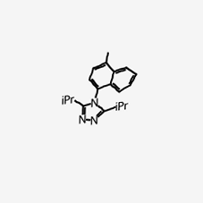 Cc1ccc(-n2c(C(C)C)nnc2C(C)C)c2ccccc12